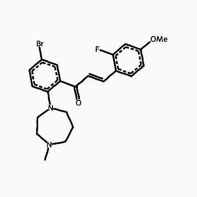 COc1ccc(C=CC(=O)c2cc(Br)ccc2N2CCCN(C)CC2)c(F)c1